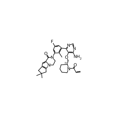 C=CC(=O)N1CCCC[C@H]1COc1c(N)ncnc1-c1cc(F)cc(N2CCn3c(cc4c3CC(C)(C)C4)C2=O)c1C